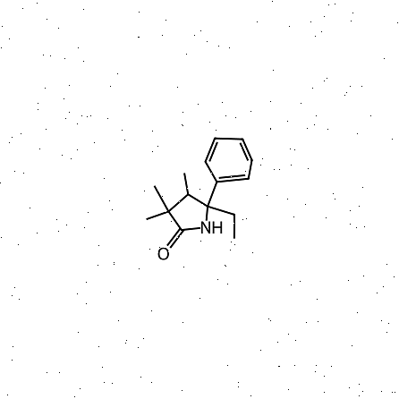 CCC1(c2ccccc2)NC(=O)C(C)(C)C1C